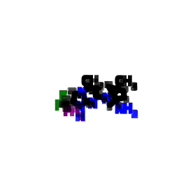 C=C1C=C(N2C[C@@]3(N)CCC4(C)CC243)N=C2N[C@H](C(F)(F)P)CN12